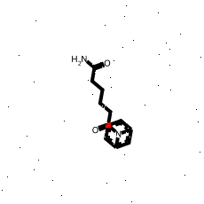 NC(=O)CCCCC(=O)N1c2cccc1c2